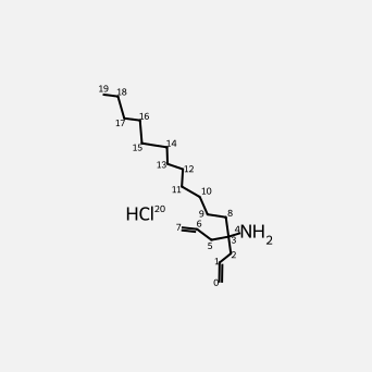 C=CCC(N)(CC=C)CCCCCCCCCCCC.Cl